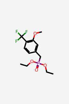 CCOP(=O)(Cc1ccc(C(F)(F)F)c(OC)c1)OCC